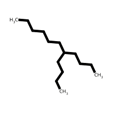 CCCCCCC(CCCC)CCCC